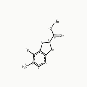 Cc1ccc2c(c1F)CN(C(=O)OC(C)(C)C)C2